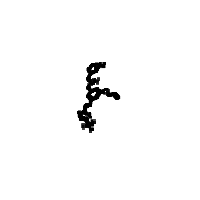 C=CCOc1cc(/C=C/c2nc(C(F)(F)F)cs2)cc(CNCC2CCNC2)c1